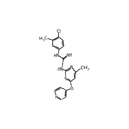 Cc1cc(Oc2ccncc2)nc(NC(=N)Nc2ccc(Cl)c(C)c2)n1